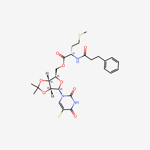 CSCC[C@H](NC(=O)CCc1ccccc1)C(=O)OC[C@H]1O[C@@H](n2cc(F)c(=O)[nH]c2=O)[C@@H]2OC(C)(C)O[C@@H]21